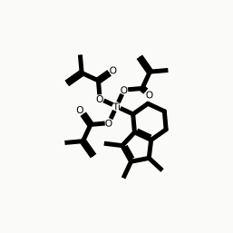 C=C(C)C(=O)[O][Ti]([O]C(=O)C(=C)C)([O]C(=O)C(=C)C)[CH]1CCCC2=C1C(C)=C(C)C2C